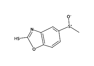 C[S+]([O-])c1ccc2oc(S)nc2c1